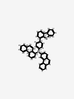 c1ccc2c(c1)ccc1ccc(N(c3ccc(-c4cccc5c4sc4ccccc45)cc3)c3cccc4c3ccc3ccccc34)cc12